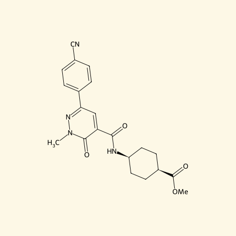 COC(=O)[C@H]1CC[C@@H](NC(=O)c2cc(-c3ccc(C#N)cc3)nn(C)c2=O)CC1